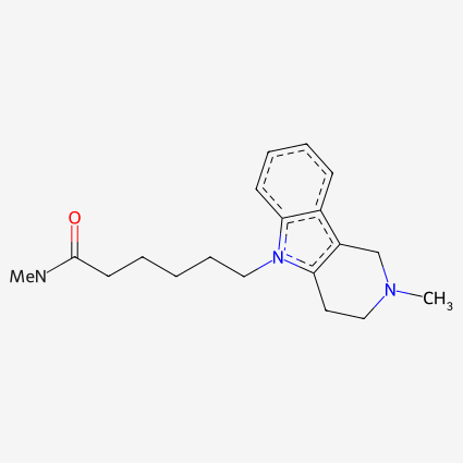 CNC(=O)CCCCCn1c2c(c3ccccc31)CN(C)CC2